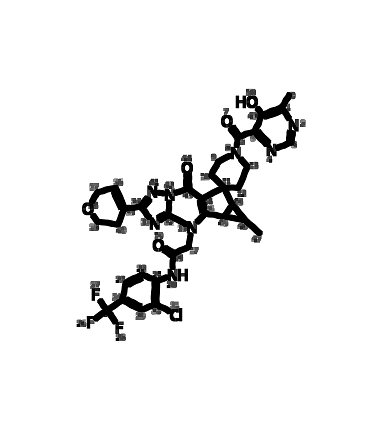 Cc1ncnc(C(=O)N2CCC3(CC2)c2c(n(CC(=O)Nc4ccc(C(F)(F)F)cc4Cl)c4nc(C5=CCOCC5)nn4c2=O)C2C(C)C23)c1O